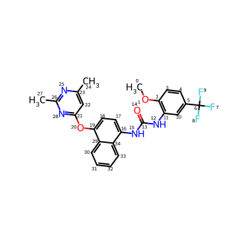 COc1ccc(C(F)(F)F)cc1NC(=O)Nc1ccc(Oc2cc(C)nc(C)n2)c2ccccc12